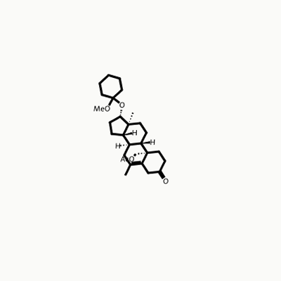 COC1(O[C@H]2CC[C@H]3[C@@H]4CC(C)=C5CC(=O)CC[C@]5(COC(C)=O)[C@H]4CC[C@]23C)CCCCC1